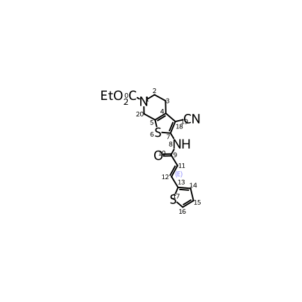 CCOC(=O)N1CCc2c(sc(NC(=O)/C=C/c3cccs3)c2C#N)C1